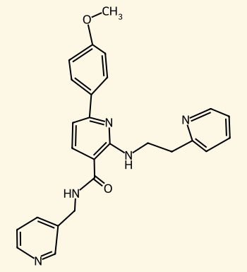 COc1ccc(-c2ccc(C(=O)NCc3cccnc3)c(NCCc3ccccn3)n2)cc1